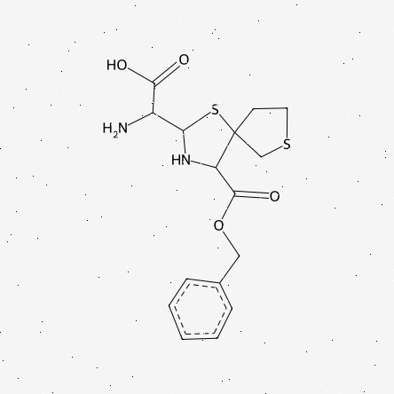 NC(C(=O)O)C1NC(C(=O)OCc2ccccc2)C2(CCSC2)S1